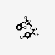 CC(C)C(C(=O)OCc1nn(Cc2ccccc2Cl)c(=O)o1)c1ccc(Cl)cc1